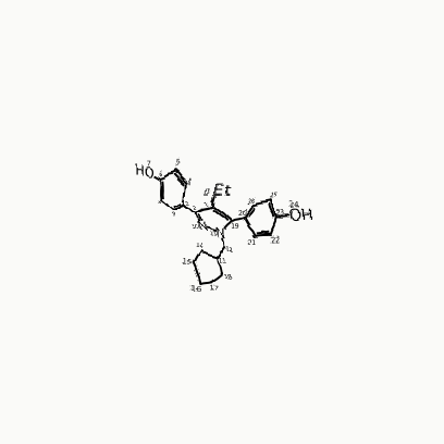 CCc1c(-c2ccc(O)cc2)nn(CC2CCCCC2)c1-c1ccc(O)cc1